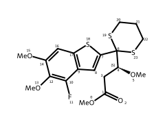 COC(=O)C[C@H](OC)C1(c2cc3c(F)c(OC)c(OC)cc3s2)SCCCS1